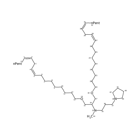 CCCCC/C=C\C/C=C\CCCCCCCCOCC(COCCCCCCCC/C=C\C/C=C\CCCCC)N(C)CCCN1CCCC1